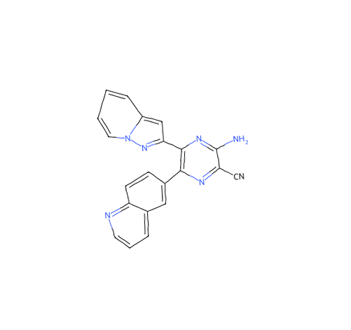 N#Cc1nc(-c2ccc3ncccc3c2)c(-c2cc3ccccn3n2)nc1N